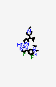 CCN1CCC(C(c2ccc(Nc3ncc(F)c(-c4cc(F)c5nc(C)n(C(C)C)c5c4)n3)nc2)C2CC2)CC1